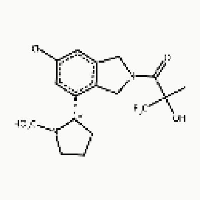 CC(O)(C(=O)N1Cc2cc(Cl)cc([C@@H]3CCCN3C(=O)O)c2C1)C(F)(F)F